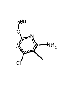 CCCCOc1nc(N)c(C)c(Cl)n1